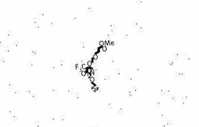 COC(=O)/C=C/COCCOc1cnn(COCC[Si](C)(C)C)c(=O)c1C(F)(F)F